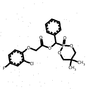 CC1(C)COP(=O)(C(OC(=O)COc2ccc(F)cc2Cl)c2ccccc2)OC1